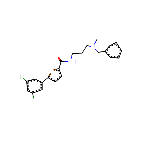 CN(CCCNC(=O)c1ccc(-c2cc(F)cc(F)c2)s1)Cc1ccccc1